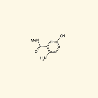 CNC(=O)c1cc(C#N)ccc1N